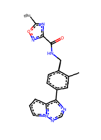 Cc1cc(-c2ncnn3cccc23)ccc1CNC(=O)c1noc(C(C)(C)C)n1